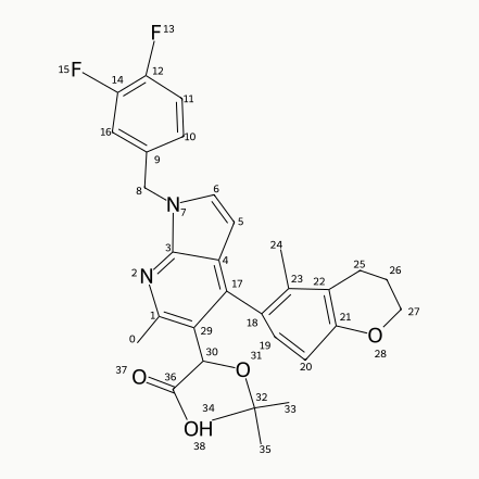 Cc1nc2c(ccn2Cc2ccc(F)c(F)c2)c(-c2ccc3c(c2C)CCCO3)c1C(OC(C)(C)C)C(=O)O